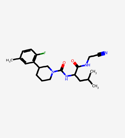 Cc1ccc(F)c(C2CCCN(C(=O)NC(CC(C)C)C(=O)NCC#N)C2)c1